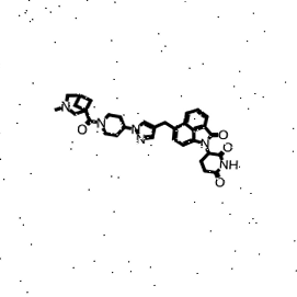 CN1CC2CC(C(=O)N3CCC(n4cc(Cc5ccc6c7c(cccc57)C(=O)N6C5CCC(=O)NC5=O)cn4)CC3)(C2)C1